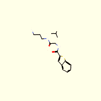 CC(C)C[C@H](NC(=O)c1cc2ccccc2s1)C(=O)NCCCN